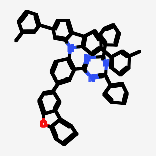 Cc1cccc(-c2ccc3c4ccc(-c5cccc(C)c5)cc4n(-c4ccc(-c5ccc6oc7ccccc7c6c5)cc4-c4nc(-c5ccccc5)nc(-c5ccccc5)n4)c3c2)c1